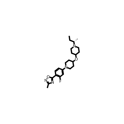 CC[C@H](C)N1CCC(OC2CCN(c3ccc(-c4nc(C)no4)c(F)c3)CC2)CC1